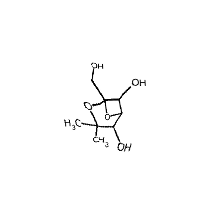 CC1(C)OC2(CO)OC(C1O)C2O